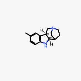 Cc1ccc2c(c1)[C@H]1CN3CCC(CC3)[C@H]1N2